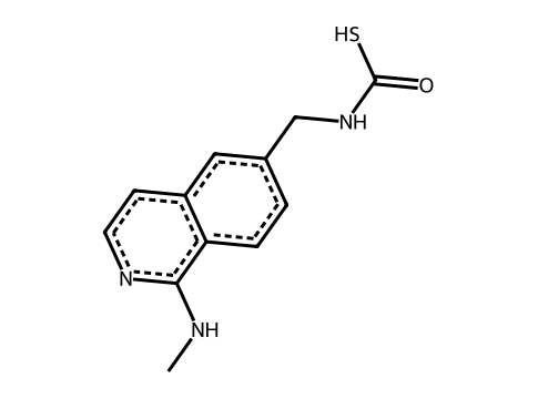 CNc1nccc2cc(CNC(=O)S)ccc12